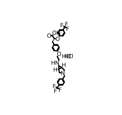 Cl.Cl.O=C(O)[C@H](Cc1ccc(OCCNC2[C@@H]3CN(Cc4ccc(C(F)(F)F)cc4)C[C@@H]23)cc1)Oc1ccc(C(F)(F)F)cc1